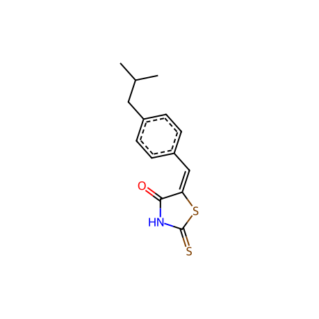 CC(C)Cc1ccc(C=C2SC(=S)NC2=O)cc1